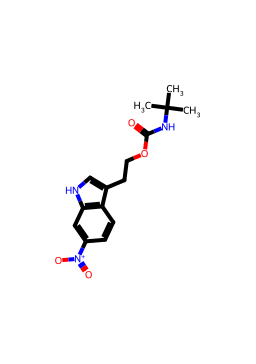 CC(C)(C)NC(=O)OCCc1c[nH]c2cc([N+](=O)[O-])ccc12